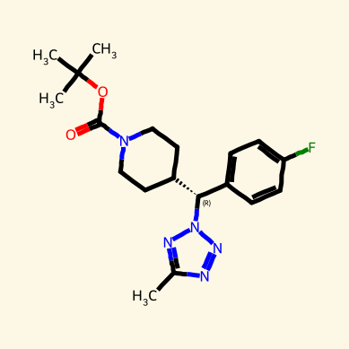 Cc1nnn([C@@H](c2ccc(F)cc2)C2CCN(C(=O)OC(C)(C)C)CC2)n1